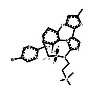 COc1cccc(OC)c1-n1c(-c2ccc(C)o2)nnc1N(CC[Si](C)(C)C)S(=O)(=O)[C@H](C)[C@](C)(F)c1ncc(Br)cn1